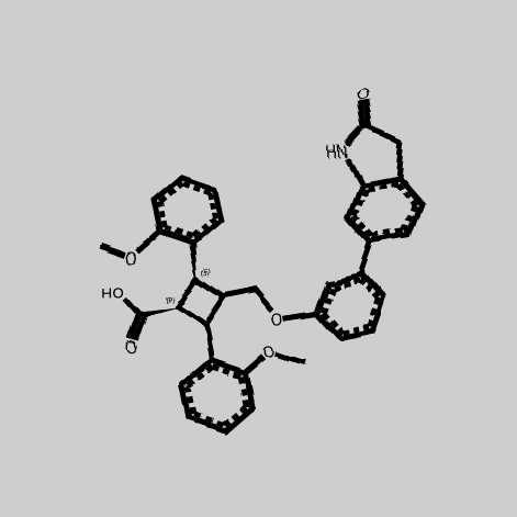 COc1ccccc1C1C(COc2cccc(-c3ccc4c(c3)NC(=O)C4)c2)[C@H](c2ccccc2OC)[C@@H]1C(=O)O